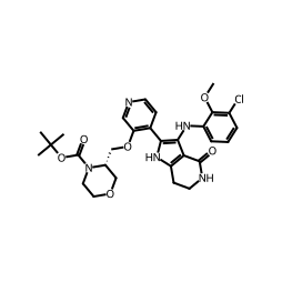 COc1c(Cl)cccc1Nc1c(-c2ccncc2OC[C@@H]2COCCN2C(=O)OC(C)(C)C)[nH]c2c1C(=O)NCC2